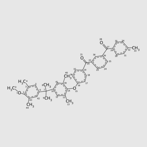 COc1c(C)cc(C(C)(C)c2cc(C)c(Oc3ccc(C(=O)c4cccc(C(=O)c5ccc(C)cc5)c4)cc3)c(C)c2)cc1C